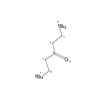 CC(C)(C)CCC(=O)CCC(C)(C)C